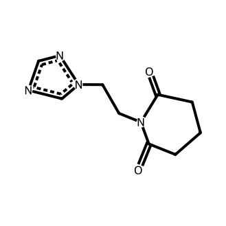 O=C1CCCC(=O)N1CCn1cncn1